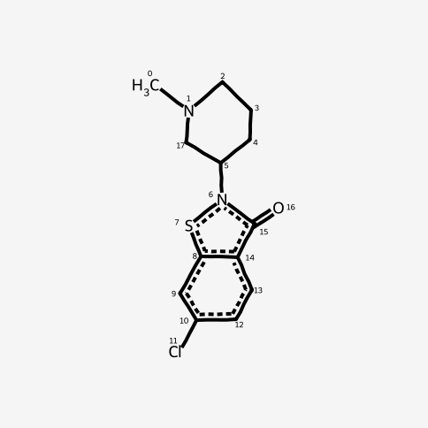 CN1CCCC(n2sc3cc(Cl)ccc3c2=O)C1